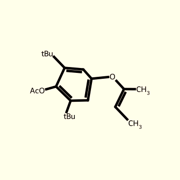 CC=C(C)Oc1cc(C(C)(C)C)c(OC(C)=O)c(C(C)(C)C)c1